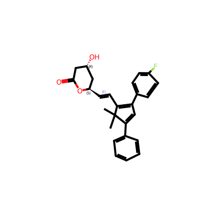 CC1(C)C(c2ccccc2)=CC(c2ccc(F)cc2)=C1/C=C/[C@@H]1C[C@@H](O)CC(=O)O1